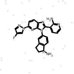 Nc1ncccc1-c1nc2ccc(-n3cc(F)cn3)nc2n1-c1ccc2c(c1)CC[C@@H]2N